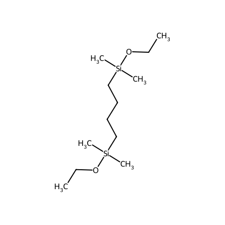 CCO[Si](C)(C)CCCC[Si](C)(C)OCC